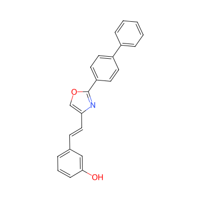 Oc1cccc(C=Cc2coc(-c3ccc(-c4ccccc4)cc3)n2)c1